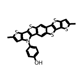 Cc1cc2sc3c4cc5sc6c7sc(C)cc7n(-c7ccc(O)cc7)c6c5cc4sc3c2s1